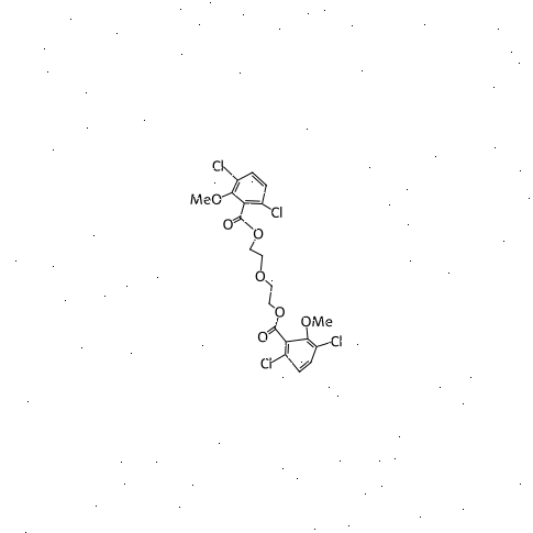 COc1c(Cl)ccc(Cl)c1C(=O)OCCOCCOC(=O)c1c(Cl)ccc(Cl)c1OC